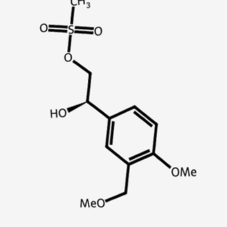 COCc1cc([C@@H](O)COS(C)(=O)=O)ccc1OC